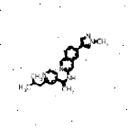 C=C(Nc1cc2cc(-c3cnn(C)c3)ccc2cn1)c1ccnc(CC(C)C)c1